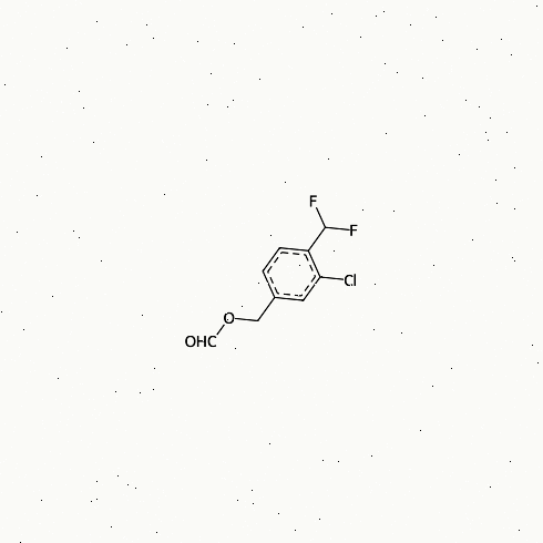 O=COCc1ccc(C(F)F)c(Cl)c1